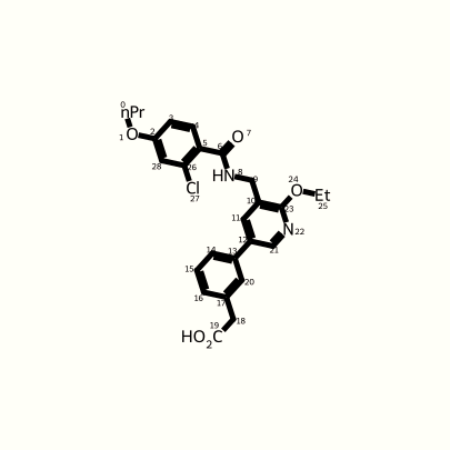 CCCOc1ccc(C(=O)NCc2cc(-c3cccc(CC(=O)O)c3)cnc2OCC)c(Cl)c1